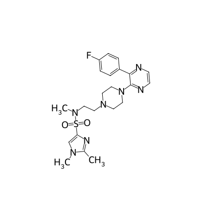 Cc1nc(S(=O)(=O)N(C)CCN2CCN(c3nccnc3-c3ccc(F)cc3)CC2)cn1C